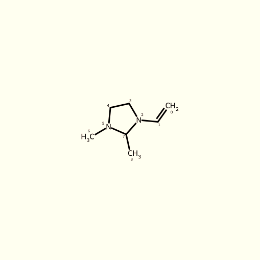 C=CN1CCN(C)C1C